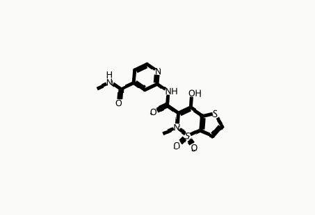 CNC(=O)c1ccnc(NC(=O)C2=C(O)c3sccc3S(=O)(=O)N2C)c1